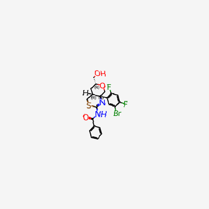 O=C(NC1=N[C@@]2(c3cc(Br)c(F)cc3F)CO[C@@H](CO)C[C@H]2CS1)c1ccccc1